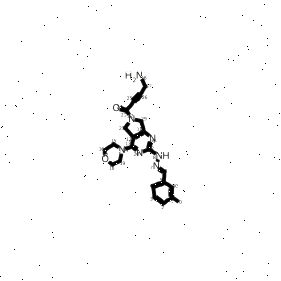 Cc1cccc(/C=N/Nc2nc3c(c(N4CCOCC4)n2)CN(C(=O)C#CCN)C3)c1